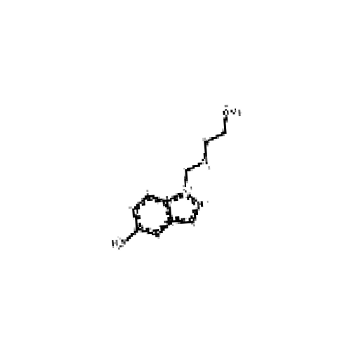 Bc1ccc2c(cnn2COCCOC)c1